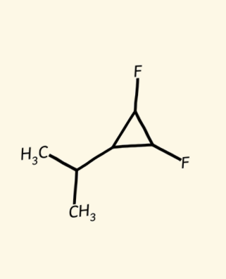 CC(C)C1C(F)C1F